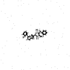 CN1C(=O)[C@@H](NC(=O)c2nc3n(n2)[C@H](c2ccccc2F)CC3)COc2ccccc21